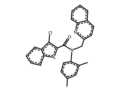 Cc1ccc(N(Cc2ccc3ccccc3n2)C(=O)c2sc3ccccc3c2Cl)c(C)c1